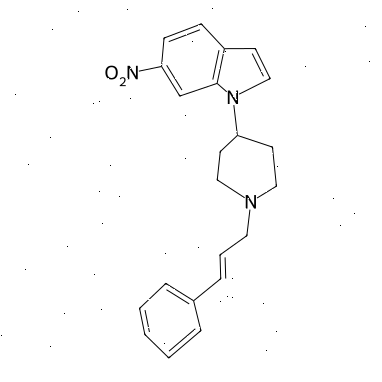 O=[N+]([O-])c1ccc2ccn(C3CCN(CC=Cc4ccccc4)CC3)c2c1